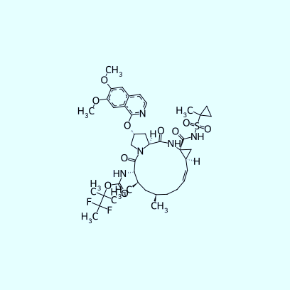 COc1cc2ccnc(O[C@@H]3C[C@H]4C(=O)N[C@]5(C(=O)NS(=O)(=O)C6(C)CC6)C[C@H]5/C=C\CC[C@@H](C)C[C@@H](C)[C@H](NC(=O)OC(C)(C)C(C)(F)F)C(=O)N4C3)c2cc1OC